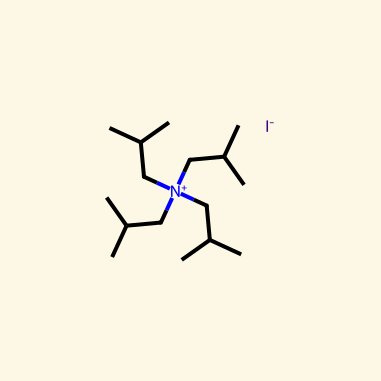 CC(C)C[N+](CC(C)C)(CC(C)C)CC(C)C.[I-]